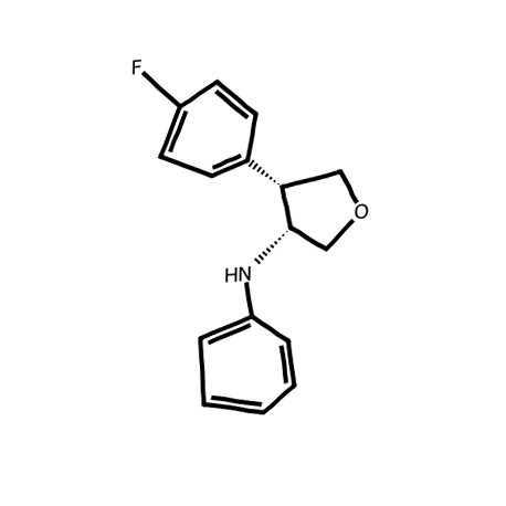 Fc1ccc([C@@H]2COC[C@@H]2Nc2ccccc2)cc1